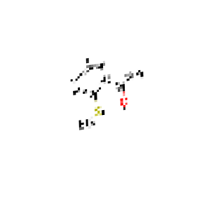 CCSc1ccccc1C(=O)C(C)C